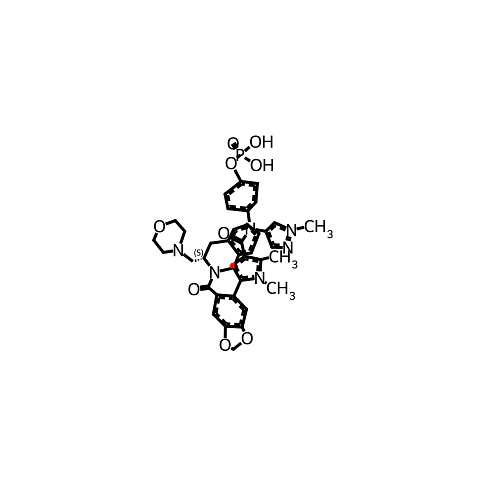 Cc1c(C(=O)N(c2ccc(OP(=O)(O)O)cc2)c2cnn(C)c2)cc(-c2cc3c(cc2C(=O)N2Cc4ccccc4C[C@H]2CN2CCOCC2)OCO3)n1C